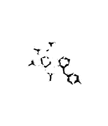 CC(=O)OC[C@@H]1S[C@H](Oc2ccccc2Cc2ccc(F)cc2)[C@H](OC(C)=O)[C@@H](OC(C)=O)[C@@H]1OC(C)=O